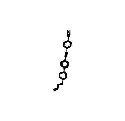 C=CCC[C@H]1CC[C@H](c2ccc(C#C[C@H]3CC[C@H](C#N)CC3)cc2)CC1